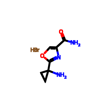 Br.NC(=O)c1coc(C2(N)CC2)n1